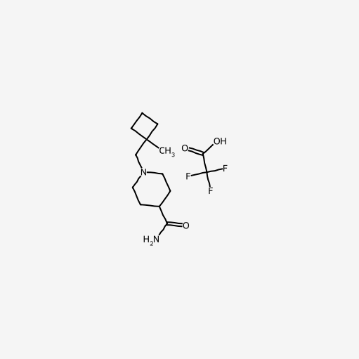 CC1(CN2CCC(C(N)=O)CC2)CCC1.O=C(O)C(F)(F)F